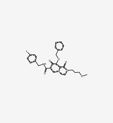 COCCCn1ccn2cc(C(=O)NCc3ccc(F)cc3)c(=O)c(OCc3ccccc3)c2c1=O